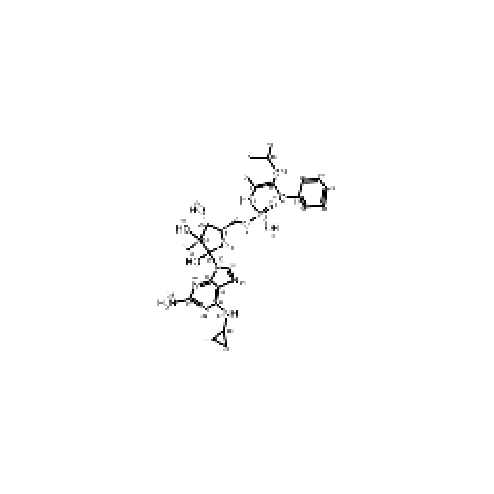 CC(N[P@@](O)(=S)OC[C@H]1O[C@](O)(n2cnc3c(NC4CC4)nc(N)nc32)[C@](C)(O)[C@@H]1O)=C(Oc1ccccc1)OC(C)C